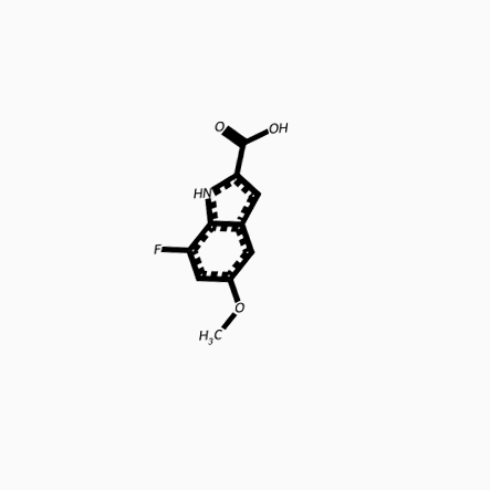 COc1cc(F)c2[nH]c(C(=O)O)cc2c1